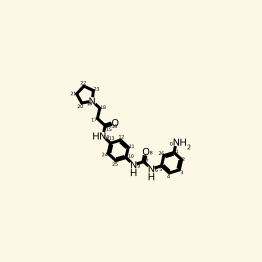 Nc1cccc(NC(=O)Nc2ccc(NC(=O)CCN3CCCC3)cc2)c1